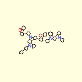 c1ccc(-c2ccc(-n3c4ccccc4c4c5c6cc(-c7ccc(-c8cccc(-n9c%10ccccc%10c%10c%11c%12ccccc%12n(-c%12ccccc%12)c%11ccc%109)c8)c8c7oc7ccccc78)ccc6n(-c6cccc(-c7cccc8oc9ccccc9c78)c6)c5ccc43)cc2)cc1